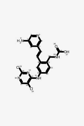 Nc1cncc(C=Cc2cc(Nc3nc(Cl)ncc3Cl)ccc2CNC(=O)O)c1